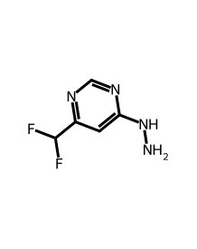 NNc1cc(C(F)F)ncn1